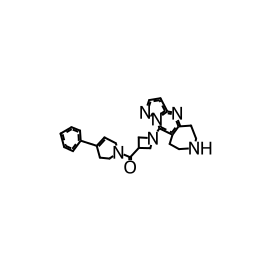 O=C(C1CN(c2c3c(nc4ccnn24)CCNCC3)C1)N1CC=C(c2ccccc2)CC1